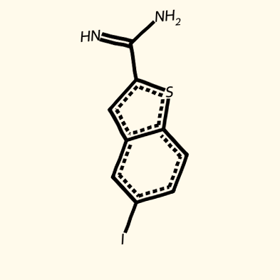 N=C(N)c1cc2cc(I)ccc2s1